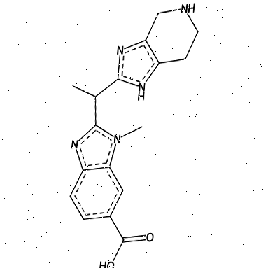 CC(c1nc2c([nH]1)CCNC2)c1nc2ccc(C(=O)O)cc2n1C